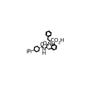 CC(C)[C@H]1CC[C@H](C(=O)N[C@H](Cc2ccccc2)C(=O)N[C@H](Cc2ccccc2)C(=O)O)CC1